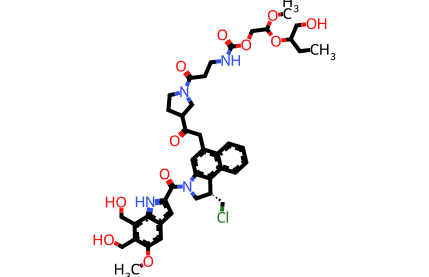 CCC(CO)OC(COC(=O)NCCC(=O)N1CCC(C(=O)Cc2cc3c(c4ccccc24)[C@H](CCl)CN3C(=O)c2cc3cc(OC)c(CO)c(CO)c3[nH]2)C1)OC